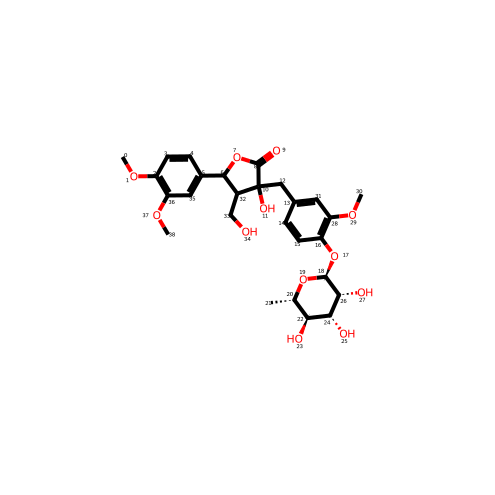 COc1ccc(C2OC(=O)C(O)(Cc3ccc(O[C@@H]4O[C@@H](C)[C@H](O)[C@@H](O)[C@H]4O)c(OC)c3)C2CO)cc1OC